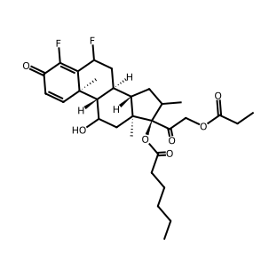 CCCCCC(=O)O[C@]1(C(=O)COC(=O)CC)C(C)C[C@H]2[C@@H]3CC(F)C4=C(F)C(=O)C=C[C@]4(C)[C@H]3C(O)C[C@@]21C